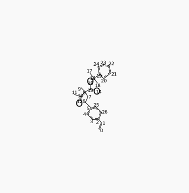 C=Cc1ccc(CCC(C)(C(C)=O)C(=O)OC(C)(C)c2ccccc2)cc1